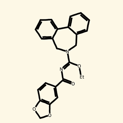 CCOC(=NC(=O)c1ccc2c(c1)OCO2)N1Cc2ccccc2-c2ccccc2C1